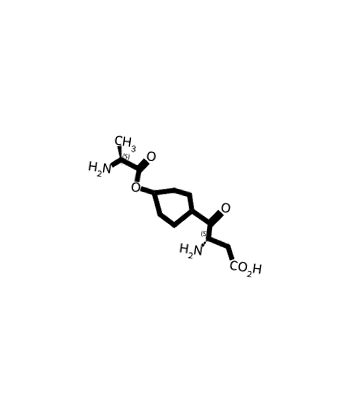 C[C@H](N)C(=O)OC1CCC(C(=O)[C@@H](N)CC(=O)O)CC1